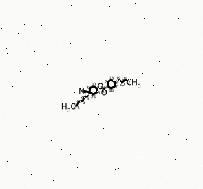 CCCCCC[C@]1(C#N)CC[C@H](OC(=O)[C@H]2CC[C@H](CCCC)CC2)CC1